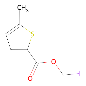 Cc1ccc(C(=O)OCI)s1